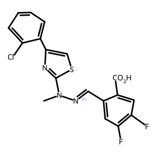 CN(/N=C/c1cc(F)c(F)cc1C(=O)O)c1nc(-c2ccccc2Cl)cs1